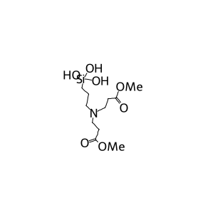 COC(=O)CCN(CCC[Si](O)(O)O)CCC(=O)OC